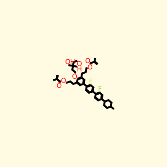 C=C(C)C(=O)OCCCc1cc(-c2ccc(-c3ccc(C4CCC(C)CC4)cc3F)cc2F)cc(CCCOC(=O)C(=C)C)c1OCCC(CC)(CO)CO